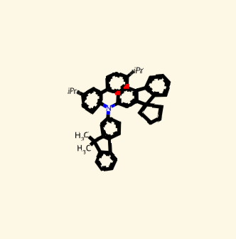 CC(C)c1ccc(-c2cc(C(C)C)ccc2N(c2ccc3c(c2)C(C)(C)c2ccccc2-3)c2ccc3c(c2)C2(CCCC2)c2ccccc2-3)cc1